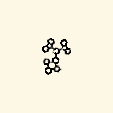 c1ccc2c(c1)-c1ccccc1-c1ccc(-c3cc(-n4c5ccccc5c5ccccc54)cc(-n4c5ccccc5c5ccccc54)n3)cc1-c1ccccc1-2